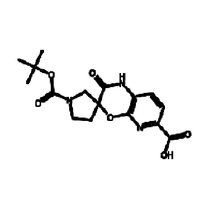 CC(C)(C)OC(=O)N1CCC2(C1)Oc1nc(C(=O)O)ccc1NC2=O